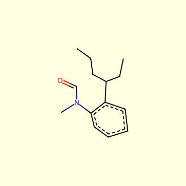 CCCC(CC)c1ccccc1N(C)C=O